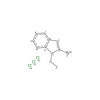 CCC1[C]([Ti+3])=Cc2ccccc21.[Cl-].[Cl-].[Cl-]